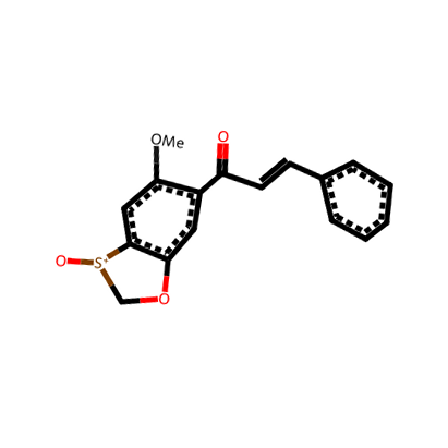 COc1cc2c(cc1C(=O)C=Cc1ccccc1)OC[S+]2[O-]